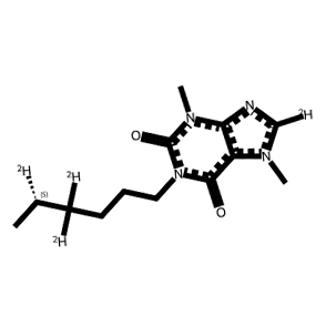 [2H]c1nc2c(c(=O)n(CCCC([2H])([2H])[C@@H]([2H])C)c(=O)n2C)n1C